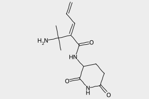 C=C/C=C(/C(=O)NC1CCC(=O)NC1=O)C(C)(C)N